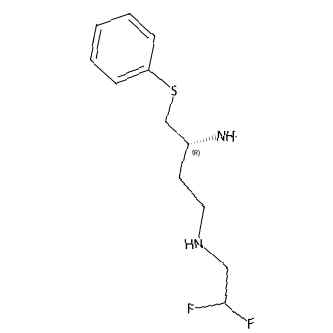 [NH][C@H](CCNCC(F)F)CSc1ccccc1